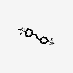 C[Si](C)(C)c1ccc(C=Cc2ccc([Si](C)(C)C)cc2)cc1